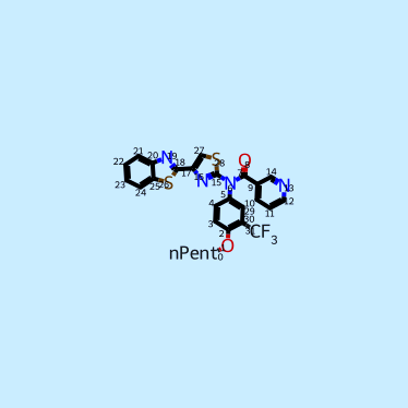 CCCCCOc1ccc(N(C(=O)c2cccnc2)c2nc(-c3nc4ccccc4s3)cs2)cc1C(F)(F)F